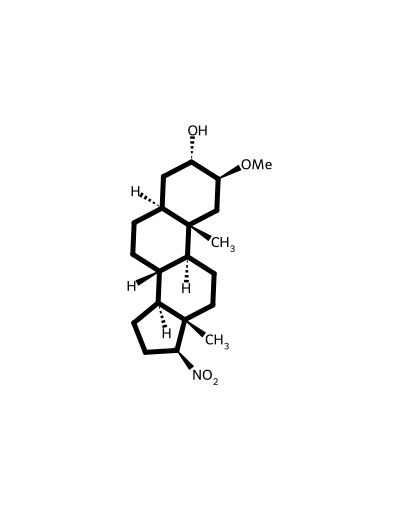 CO[C@H]1C[C@@]2(C)[C@@H](CC[C@@H]3[C@@H]2CC[C@]2(C)[C@@H]([N+](=O)[O-])CC[C@@H]32)C[C@@H]1O